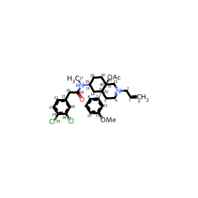 C=CCN1CC[C@@]2(c3cccc(OC)c3)C[C@@H](N(C)C(=O)Cc3ccc(Cl)c(Cl)c3)CC[C@]2(OC(C)=O)C1